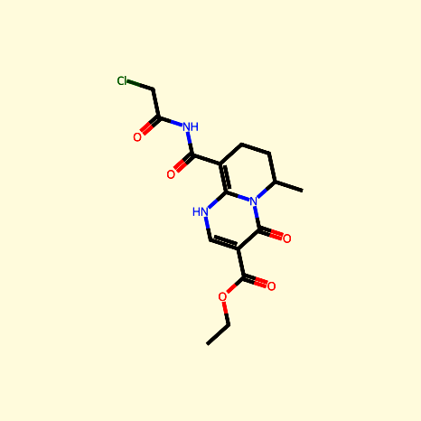 CCOC(=O)C1=CNC2=C(C(=O)NC(=O)CCl)CCC(C)N2C1=O